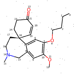 CCCCOc1cc2c(cc1OC)CN(C)CC[C@@]21C=CC(=O)CC1